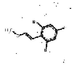 CO/C=C/c1c(Br)cc(F)cc1Br